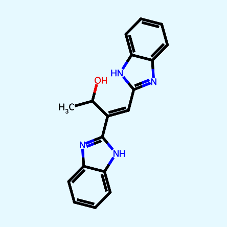 CC(O)C(=Cc1nc2ccccc2[nH]1)c1nc2ccccc2[nH]1